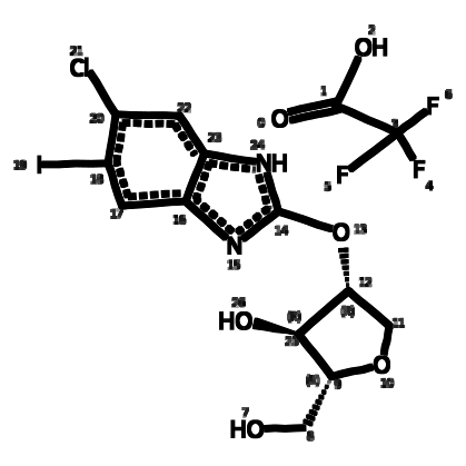 O=C(O)C(F)(F)F.OC[C@H]1OC[C@@H](Oc2nc3cc(I)c(Cl)cc3[nH]2)[C@@H]1O